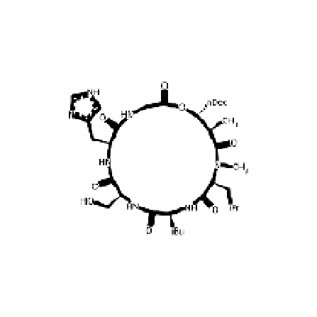 CCCCCCCCCC[C@H]1OC(=O)CNC(=O)[C@H](Cc2c[nH]cn2)NC(=O)[C@H](CO)NC(=O)[C@H](C(C)CC)NC(=O)[C@H](CC(C)C)N(C)C(=O)[C@@H]1C